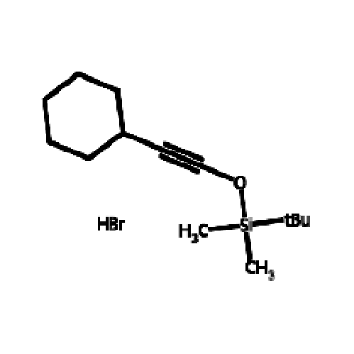 Br.CC(C)(C)[Si](C)(C)OC#CC1CCCCC1